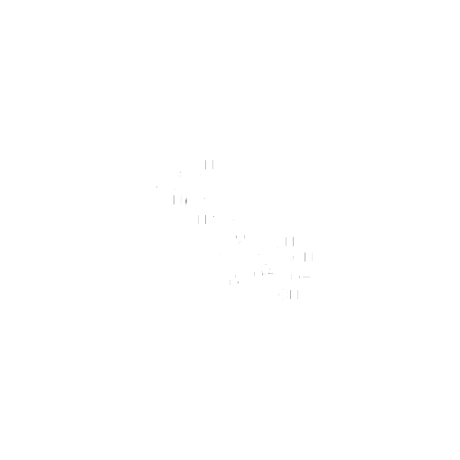 CC1(C)CC[C@]2(C(=O)O)CC[C@]3(C)C(=CC[C@@H]4[C@@]5(C)CC[C@H](O[C@@H]6OC[C@H](O)[C@H](O)[C@H]6O[C@H]6O[C@H](CO)[C@@H](O)[C@H](O)[C@H]6O)C(C)(C)C5CC[C@]43C)[C@H]2C1